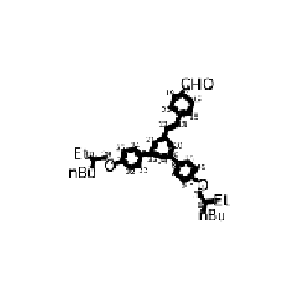 CCCCC(CC)COc1ccc(-c2cc(C=Cc3ccc(C=O)cc3)cc(-c3ccc(OCC(CC)CCCC)cc3)c2)cc1